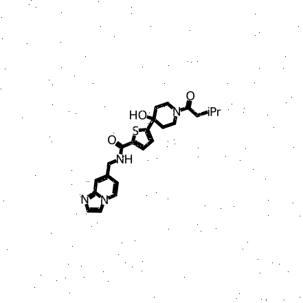 CC(C)CC(=O)N1CCC(O)(c2ccc(C(=O)NCc3ccn4ccnc4c3)s2)CC1